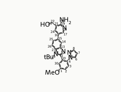 COc1ccc(-n2cccn2)c(-c2nc3cc(-c4cnc(N)c(CO)c4)ccc3n2C(C)(C)C)c1